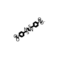 O=[N+]([O-])c1ccc(-c2nc3sc(-c4ccc([N+](=O)[O-])cc4)nc3s2)cc1